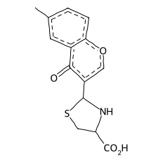 Cc1ccc2occ(C3NC(C(=O)O)CS3)c(=O)c2c1